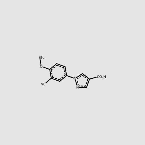 CC(C)(C)Oc1ccc(-n2cc(C(=O)O)cn2)cc1C#N